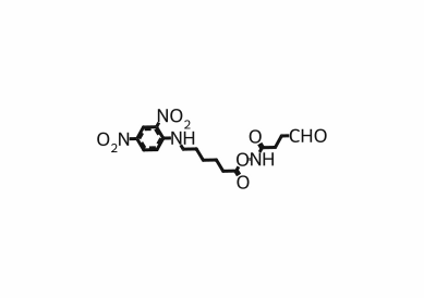 O=CCCC(=O)NOC(=O)CCCCCNc1ccc([N+](=O)[O-])cc1[N+](=O)[O-]